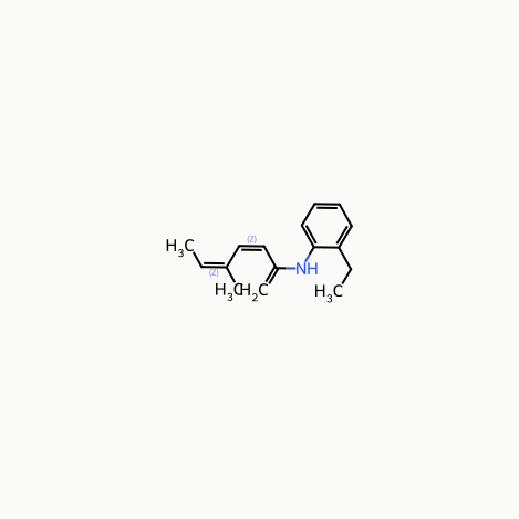 C=C(/C=C\C(C)=C/C)Nc1ccccc1CC